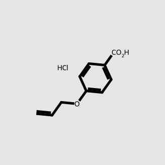 C=CCOc1ccc(C(=O)O)cc1.Cl